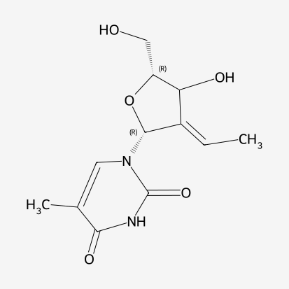 CC=C1C(O)[C@@H](CO)O[C@H]1n1cc(C)c(=O)[nH]c1=O